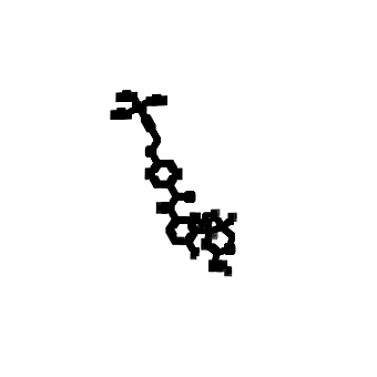 CCC[CH2][Sn]([C]#CCOc1cnc(C(=O)Nc2ccc(F)c([C@@]3(C)N=C(N)OCC3(F)F)c2)cn1)([CH2]CCC)[CH2]CCC